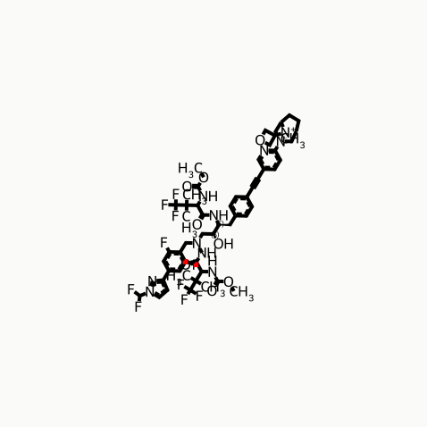 COC(=O)NC(C(=O)N[C@@H](Cc1ccc(C#Cc2ccc(N3CC4CCC(C3)[N+]4(C)C3COC3)nc2)cc1)[C@@H](O)CN(Cc1c(F)cc(-c2ccn(C(F)F)n2)cc1F)NC(=O)C(NC(=O)OC)C(C)(C)C(F)(F)F)C(C)(C)C(F)(F)F